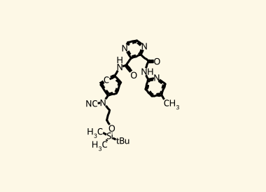 Cc1ccc(NC(=O)c2nccnc2C(=O)Nc2ccc(N(C#N)CCO[Si](C)(C)C(C)(C)C)cc2)nc1